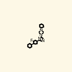 Fc1cc(-c2cncc(N3CCN(c4ccccc4)CC3)n2)ccc1-c1ccccc1